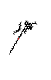 CCCCCCCCCCCCCCCCCCCCC=CCCc1ccccc1C(=CC(=C=[N+]=[N-])CCCC)c1cccc(CCCC)c1.CCCC[O][Ni][O]CCCC